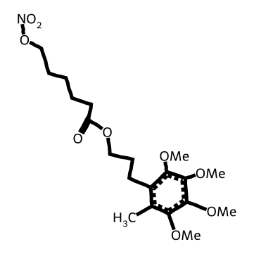 COc1c(C)c(CCCOC(=O)CCCCCO[N+](=O)[O-])c(OC)c(OC)c1OC